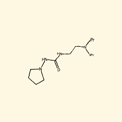 CC(C)N(CCNC(=O)NN1CCCC1)C(C)C